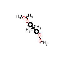 COCCOc1ccc(C(C)(C)c2ccc(OCC(C)OC)cc2)cc1